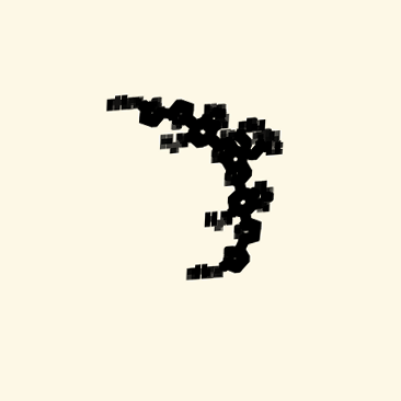 CCCCCCc1ccc(-c2ccc(-c3c(N)cc(-c4cc5c(s4)-c4sc(-c6cc(N)c(-c7ccc(-c8ccc(CCCCCC)s8)s7)c7nsnc67)cc4C5(CC(CC)CCCC)CC(CC)CCCC)c4nsnc34)s2)s1